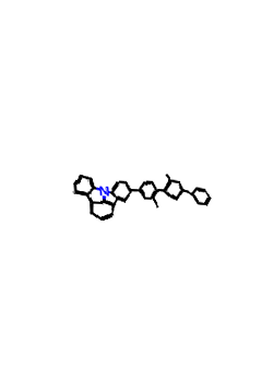 Cc1cc(-c2ccccc2)ccc1-c1ccc(-c2ccc3c(c2)c2c4n3-c3ccccc3C4CC=C2)cc1C